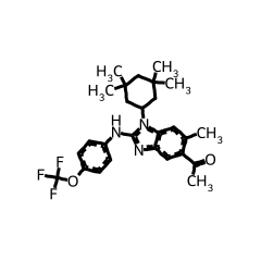 CC(=O)c1cc2nc(Nc3ccc(OC(F)(F)F)cc3)n(C3CC(C)(C)CC(C)(C)C3)c2cc1C